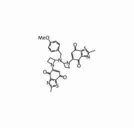 COc1ccc(CN(C2CCN2C2=CC(=O)c3sc(C)nc3C2=O)C2CCN2C2=CC(=O)c3sc(C)nc3C2=O)cc1